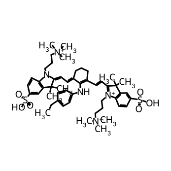 CCc1ccc(NC2=C(/C=C/C3=[N+](CCC[N+](C)(C)C)c4ccc(S(=O)(=O)O)cc4C3(C)C)CCC/C2=C\C=C2\N(CCC[N+](C)(C)C)c3ccc(S(=O)(=O)O)cc3C2(C)C)cc1